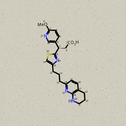 COc1ccc([C@H](CC(=O)O)c2nc(CCCc3ccc4c(n3)NCCC4)cs2)cn1